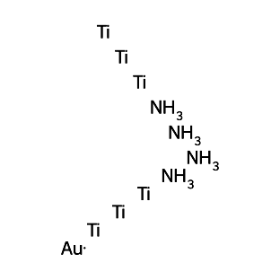 N.N.N.N.[Au].[Ti].[Ti].[Ti].[Ti].[Ti].[Ti]